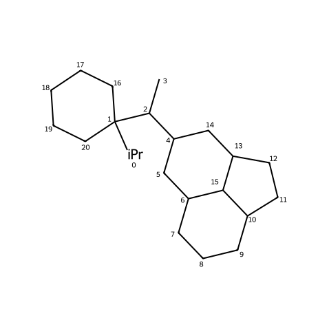 CC(C)C1(C(C)C2CC3CCCC4CCC(C2)C43)CCCCC1